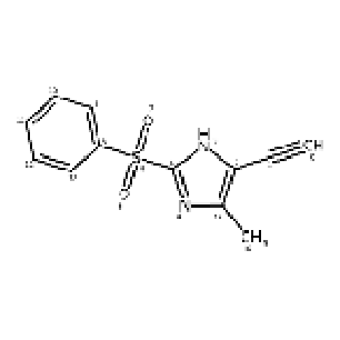 C#Cc1[nH]c(S(=O)(=O)c2ccccc2)nc1C